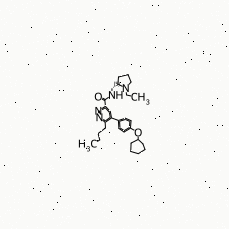 CCCCc1nnc(C(=O)NC[C@@H]2CCCN2CC)cc1-c1ccc(OC2CCCCC2)cc1